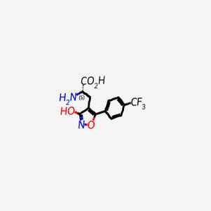 N[C@@H](Cc1c(O)noc1-c1ccc(C(F)(F)F)cc1)C(=O)O